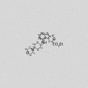 CCOC(=O)C1Cc2c(sc3ncnc(N[C@H]4CC[C@H](N5CCOCC5)CC4)c23)CO1